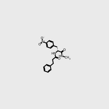 CNC(=O)[C@@H](Cc1ccc([N+](=O)[O-])cc1)NC(=O)CCc1ccccc1